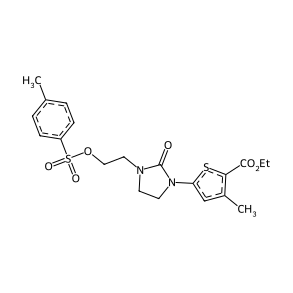 CCOC(=O)c1sc(N2CCN(CCOS(=O)(=O)c3ccc(C)cc3)C2=O)cc1C